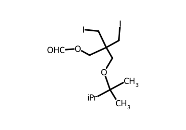 CC(C)C(C)(C)OCC(CI)(CI)COC=O